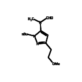 CCCCn1nc(CCOC)cc1N(C)C=O